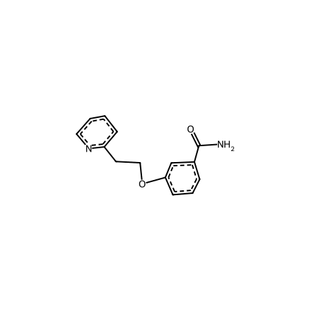 NC(=O)c1cccc(OCCc2ccccn2)c1